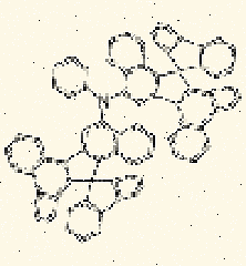 c1ccc(N(c2cc3c(c4ccccc24)C2(c4ccccc4-c4ccccc42)c2c-3c3ccccc3c3ccccc23)c2cc3c(c4ccccc24)C2(c4ccccc4-c4ccccc42)c2c-3c3ccccc3c3ccccc23)cc1